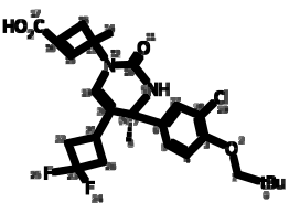 CC(C)(C)COc1ccc([C@]2(C)NC(=O)N(C3(C)C=C(C(=O)O)C3)C=C2C2CC(F)(F)C2)cc1Cl